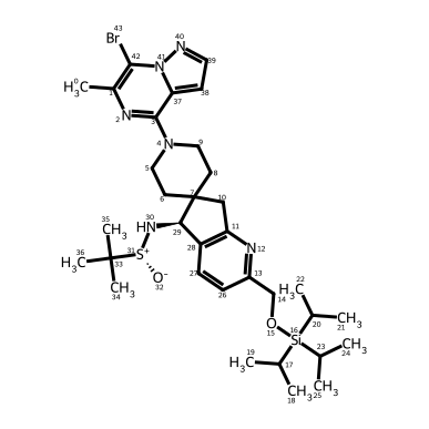 Cc1nc(N2CCC3(CC2)Cc2nc(CO[Si](C(C)C)(C(C)C)C(C)C)ccc2[C@H]3N[S@+]([O-])C(C)(C)C)c2ccnn2c1Br